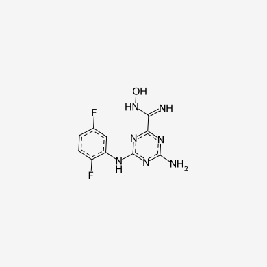 N=C(NO)c1nc(N)nc(Nc2cc(F)ccc2F)n1